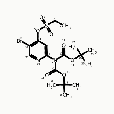 CCS(=O)(=O)Oc1cc(N(C(=O)OC(C)(C)C)C(=O)OC(C)(C)C)ncc1Br